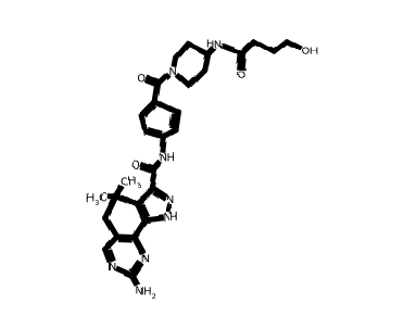 CC1(C)Cc2cnc(N)nc2-c2[nH]nc(C(=O)Nc3ccc(C(=O)N4CCC(NC(=O)CCCO)CC4)cc3)c21